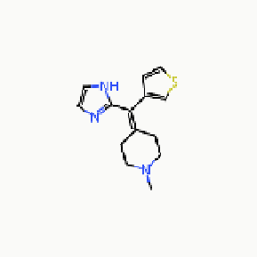 CN1CCC(=C(c2ccsc2)c2ncc[nH]2)CC1